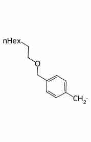 [CH2]c1ccc(COCCCCCCCC)cc1